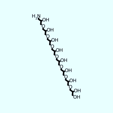 NCC(O)COCC(O)COCC(O)COCC(O)COCC(O)COCC(O)COCC(O)COCC(O)CO